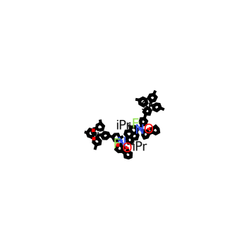 CC1=CC=C([Si](c2ccc(C)cc2)(c2ccc(C)cc2)c2ccc(C3=CCC(C)(N(c4cc(C(C)C)c5ccc6c(N(c7ccc(-c8ccc([Si](c9ccc(C)cc9)(c9ccc(C)cc9)c9ccc(C)cc9)cc8)cc7F)c7cccc8c7oc7ccccc78)cc(C(C)C)c7ccc4c5c76)c4cccc5c4oc4ccccc45)C(F)=C3)cc2)C(C)C1